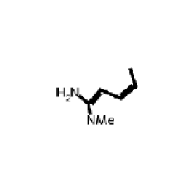 C/C=C\C=C(\N)NC